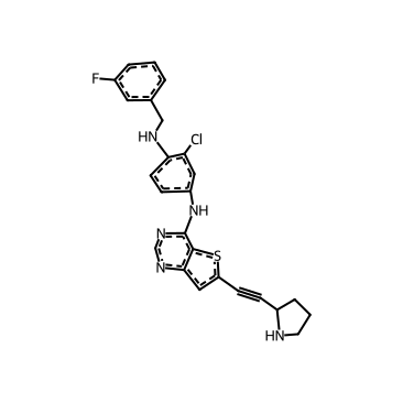 Fc1cccc(CNc2ccc(Nc3ncnc4cc(C#CC5CCCN5)sc34)cc2Cl)c1